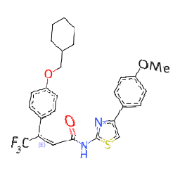 COc1ccc(-c2csc(NC(=O)/C=C(\c3ccc(OCC4CCCCC4)cc3)C(F)(F)F)n2)cc1